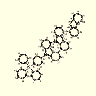 c1ccc([Si](c2ccccc2)(c2ccccc2)c2ccc(-n3c4ccccc4c4c(-n5c6ccccc6c6c(-c7cccc8c7sc7ccccc78)cccc65)cccc43)cc2)cc1